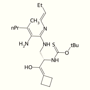 CC/C=C/N=C(NC[C@H](NC(=S)OC(C)(C)C)C(O)=C1CCC1)\C(N)=C(/C)CCC